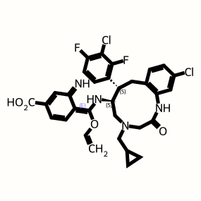 C=CO/C(N[C@@H]1CN(CC2CC2)CC(=O)Nc2cc(Cl)ccc2C[C@H]1c1ccc(F)c(Cl)c1F)=C1\C=CC(C(=O)O)=CC1=N